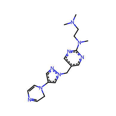 CN(C)CCN(C)c1ncc(Cn2cc(N3C=CN=CC3)cn2)cn1